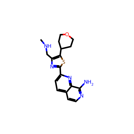 CNCc1nc(-c2ccc3ccnc(N)c3n2)sc1C1CCOCC1